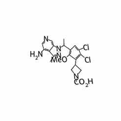 COc1c(C(C)n2nc(C)c3c(N)cncc32)cc(Cl)c(Cl)c1C1CN(C(=O)O)C1